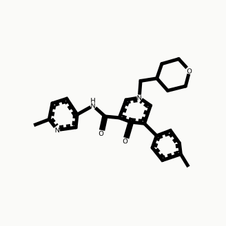 Cc1ccc(-c2cn(CC3CCOCC3)cc(C(=O)Nc3ccc(C)nc3)c2=O)cc1